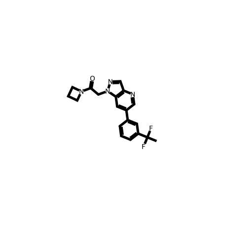 CC(F)(F)c1cccc(-c2cnc3cnn(CC(=O)N4CCC4)c3c2)c1